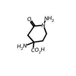 NN1CCC(N)(C(=O)O)CC1=O